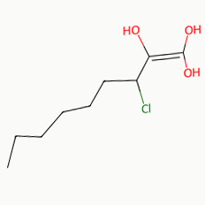 CCCCCCC(Cl)C(O)=C(O)O